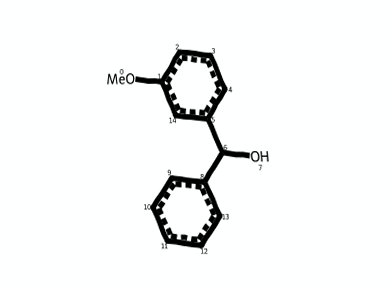 COc1cccc(C(O)c2ccccc2)c1